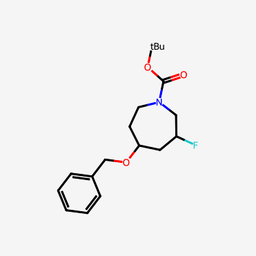 CC(C)(C)OC(=O)N1CCC(OCc2ccccc2)CC(F)C1